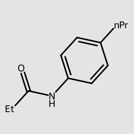 CCCc1ccc(NC(=O)CC)cc1